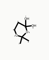 CC1(C)OCCC(O)(O)O1